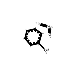 Oc1ccccc1.[O]=[Mn]=[O]